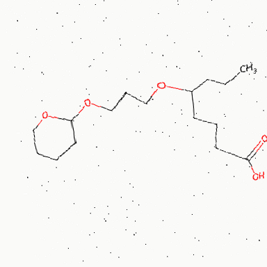 CCCC(CCCC(=O)O)OCCCOC1CCCCO1